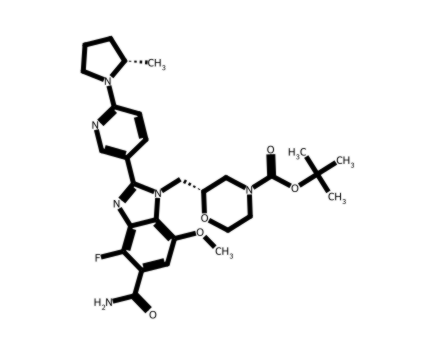 COc1cc(C(N)=O)c(F)c2nc(-c3ccc(N4CCC[C@@H]4C)nc3)n(C[C@@H]3CN(C(=O)OC(C)(C)C)CCO3)c12